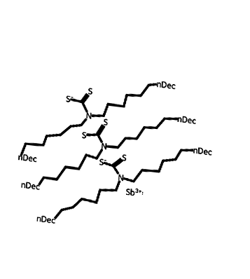 CCCCCCCCCCCCCCCCN(CCCCCCCCCCCCCCCC)C(=S)[S-].CCCCCCCCCCCCCCCCN(CCCCCCCCCCCCCCCC)C(=S)[S-].CCCCCCCCCCCCCCCCN(CCCCCCCCCCCCCCCC)C(=S)[S-].[Sb+3]